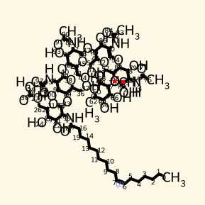 CCCCCC/C=C\CCCCCCCCCC(=O)NC1C(O)[C@H](O)C(COC(C)=O)O[C@H]1O[C@@H]1C(CO)O[C@@H](O[C@@H]2C(CO)O[C@@H](O[C@@H]3C(CO)OC(O[C@@H]4C(CO[C@@H]5OC(C)[C@@H](O)C(O)C5OC)O[C@@H](O)C(NC(C)=O)C4O)=C(NC(C)=O)C3O)C(NC(C)=O)C2O)C(NC(C)=O)C1O